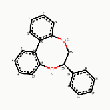 [c]1cccc2c1-c1[c]cccc1O[C@H](c1ccccc1)CO2